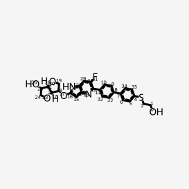 OCCSc1ccc(-c2ccc(-c3nc4cc(O[C@@H]5CO[C@H]6[C@@H]5OC[C@H]6O)[nH]c4cc3F)cc2)cc1